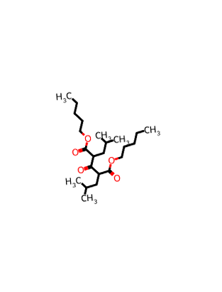 CCCCCOC(=O)C(CC(C)C)C(=O)C(CC(C)C)C(=O)OCCCCC